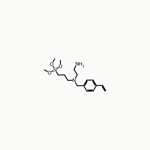 C=Cc1ccc(CN(CCN)CCC[Si](OC)(OC)OC)cc1